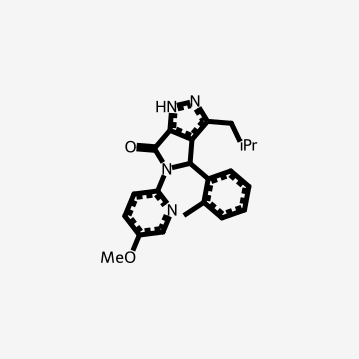 COc1ccc(N2C(=O)c3[nH]nc(CC(C)C)c3C2c2ccccc2C)nc1